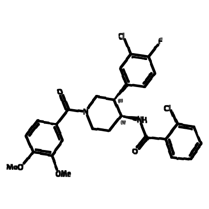 COc1ccc(C(=O)N2CC[C@H](NC(=O)c3ccccc3Cl)[C@H](c3ccc(F)c(Cl)c3)C2)cc1OC